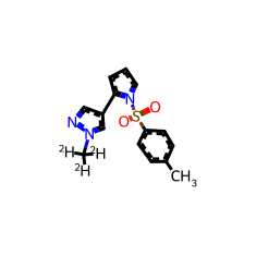 [2H]C([2H])([2H])n1cc(-c2cccn2S(=O)(=O)c2ccc(C)cc2)cn1